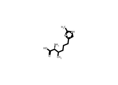 Cc1nc(CCCC(C)[C@H](N)C(=O)O)c[nH]1